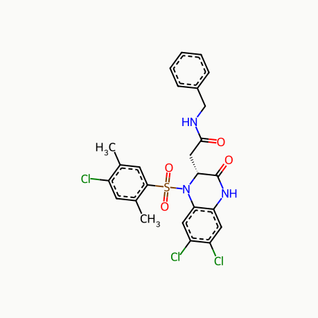 Cc1cc(S(=O)(=O)N2c3cc(Cl)c(Cl)cc3NC(=O)[C@H]2CC(=O)NCc2ccccc2)c(C)cc1Cl